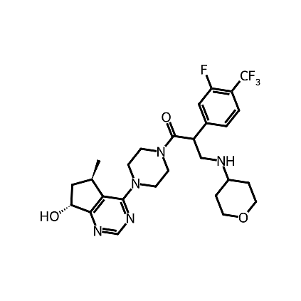 C[C@@H]1C[C@@H](O)c2ncnc(N3CCN(C(=O)C(CNC4CCOCC4)c4ccc(C(F)(F)F)c(F)c4)CC3)c21